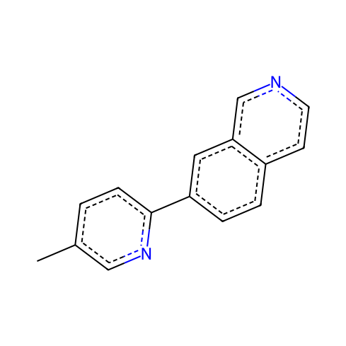 Cc1ccc(-c2ccc3ccncc3c2)nc1